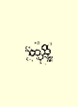 COc1cc2c(cc1OC)CN(C(CC(N)=O)c1c(S(=O)(=O)O)ccc3c(Cl)cccc13)CC2.Cl